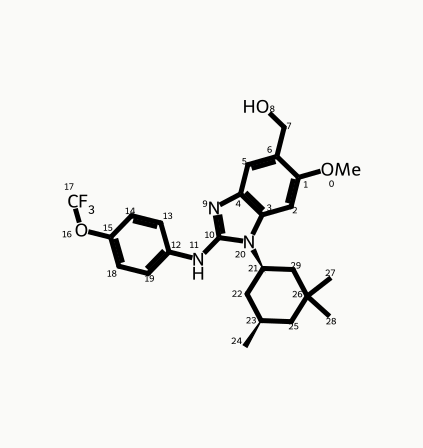 COc1cc2c(cc1CO)nc(Nc1ccc(OC(F)(F)F)cc1)n2[C@@H]1C[C@H](C)CC(C)(C)C1